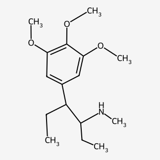 CCC(NC)C(CC)c1cc(OC)c(OC)c(OC)c1